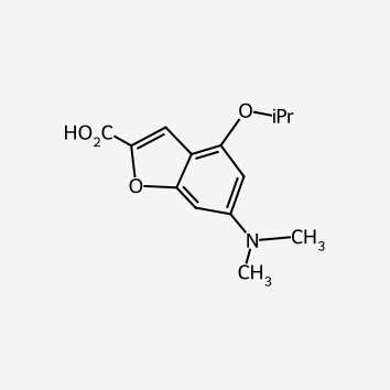 CC(C)Oc1cc(N(C)C)cc2oc(C(=O)O)cc12